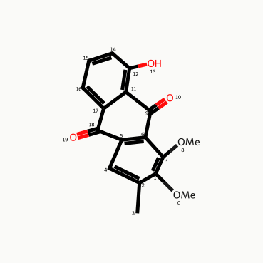 COc1c(C)cc2c(c1OC)C(=O)c1c(O)cccc1C2=O